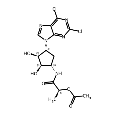 CC(=O)O[C@@H](C)C(=O)N[C@H]1C[C@@H](n2cnc3c(Cl)nc(Cl)nc32)[C@H](O)[C@@H]1O